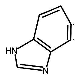 [c]1[c]c2nc[nH]c2cc1